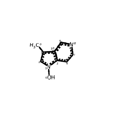 Cc1cn(O)c2ccncc12